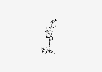 C[Si](C)(C)CCOCn1ccc2nc(NC(=O)N[C@H]3CCCN(S(C)(=O)=O)C3)cnc21